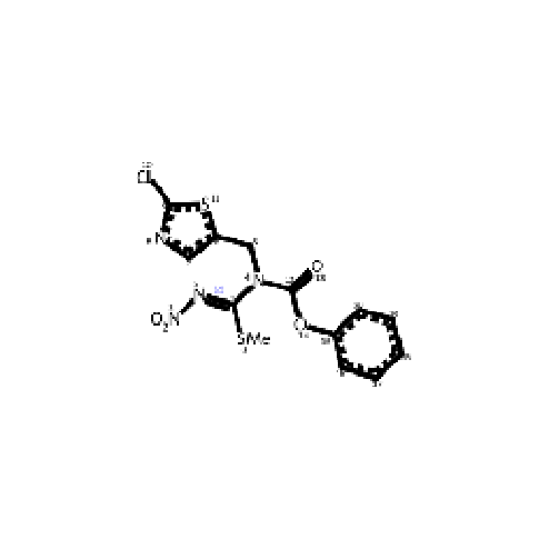 CS/C(=N\[N+](=O)[O-])N(Cc1cnc(Cl)s1)C(=O)Oc1ccccc1